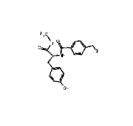 COC(=O)[C@H](Cc1ccc(O)cc1)NC(=O)c1ccc(CBr)cc1